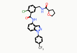 O=C(Nc1cccc2c1cnn2-c1ccc(C(F)(F)F)cc1)c1cc(CNC(=O)C2CCCO2)ccc1Cl